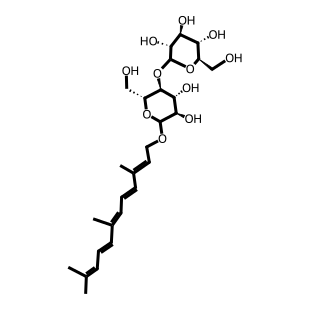 CC(C)=C/C=C/C(C)=C/C=C/C(C)=C/COC1O[C@H](CO)[C@@H](OC2O[C@H](CO)[C@@H](O)[C@H](O)[C@H]2O)[C@H](O)[C@H]1O